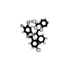 O=C(O)c1ccccc1OCC(C1CCCCC1)n1c(-c2ccc(Cl)cc2)nc2cc(F)c(F)cc21